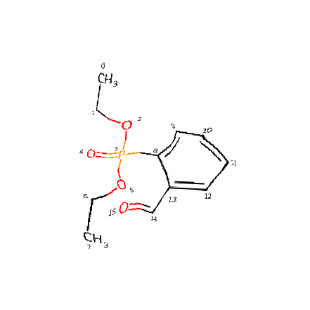 CCOP(=O)(OCC)c1ccccc1C=O